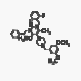 COc1cc(CN2CCN(c3c(C)n(Cc4c(F)cccc4F)c(=O)n(C[C@H](N)c4ccccc4)c3=O)CC2)cc(OC)c1